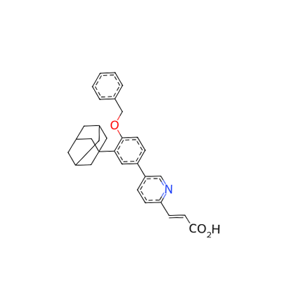 O=C(O)/C=C/c1ccc(-c2ccc(OCc3ccccc3)c(C34CC5CC(CC(C5)C3)C4)c2)cn1